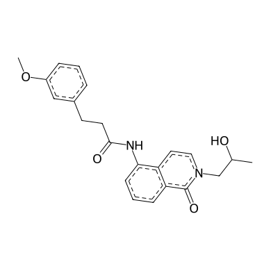 COc1cccc(CCC(=O)Nc2cccc3c(=O)n(CC(C)O)ccc23)c1